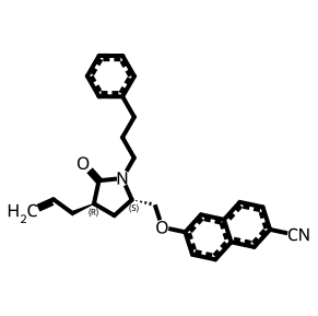 C=CC[C@@H]1C[C@@H](COc2ccc3cc(C#N)ccc3c2)N(CCCc2ccccc2)C1=O